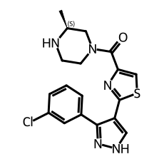 C[C@H]1CN(C(=O)c2csc(-c3c[nH]nc3-c3cccc(Cl)c3)n2)CCN1